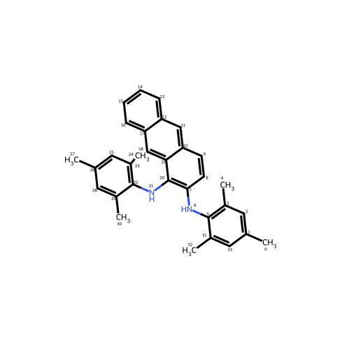 Cc1cc(C)c(Nc2ccc3cc4ccccc4cc3c2Nc2c(C)cc(C)cc2C)c(C)c1